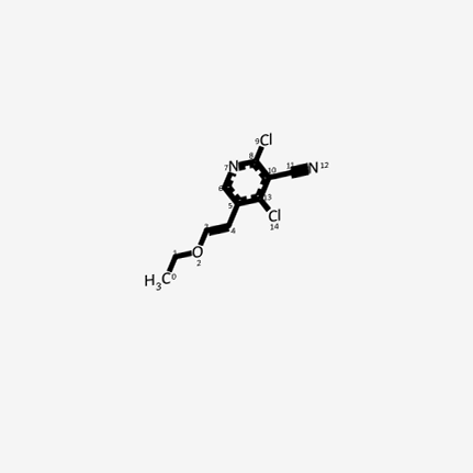 CCOC=Cc1cnc(Cl)c(C#N)c1Cl